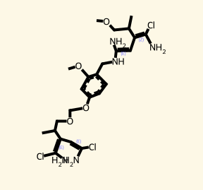 COCC(C)C(/C=C(\N)NCc1ccc(OCOCC(C)C(/C=C(\N)Cl)=C(/N)Cl)cc1OC)=C(/N)Cl